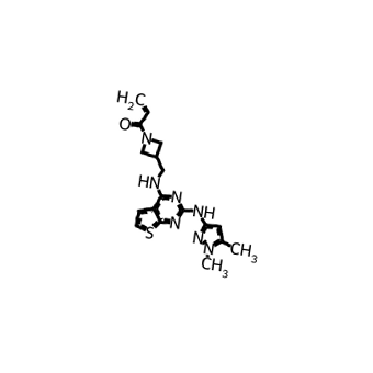 C=CC(=O)N1CC(CNc2nc(Nc3cc(C)n(C)n3)nc3sccc23)C1